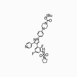 CC(C)(C)OC(=O)N1CCN(c2ccc(-n3cc(-c4cc(F)cc(NS(=O)(=O)N5CCCC5)c4F)c(-c4ccncc4)n3)cc2)CC1